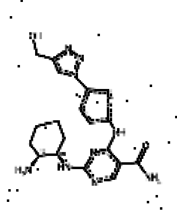 NC(=O)c1cnc(N[C@@H]2CCCC[C@@H]2N)nc1Nc1ccc(-n2cc(CO)nn2)cc1